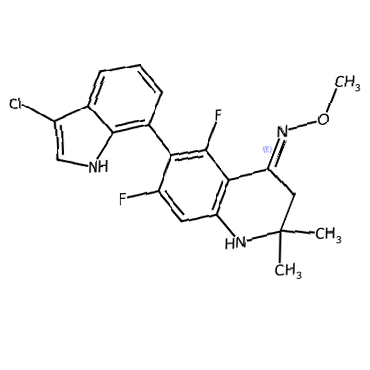 CO/N=C1\CC(C)(C)Nc2cc(F)c(-c3cccc4c(Cl)c[nH]c34)c(F)c21